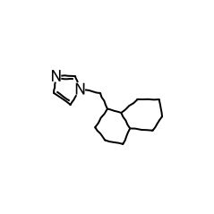 c1cn(CC2CCCC3CCCCC32)cn1